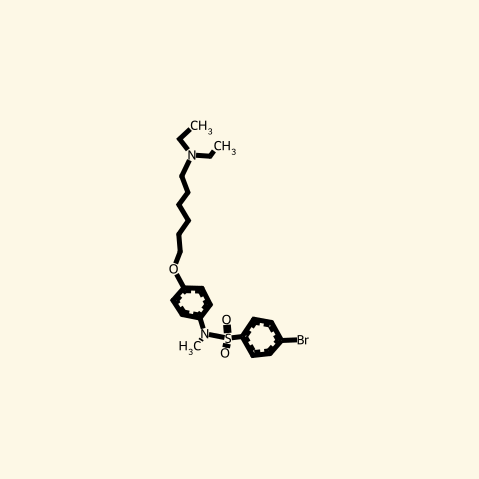 CCN(CC)CCCCCCOc1ccc(N(C)S(=O)(=O)c2ccc(Br)cc2)cc1